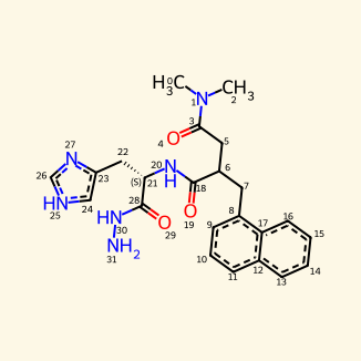 CN(C)C(=O)CC(Cc1cccc2ccccc12)C(=O)N[C@@H](Cc1c[nH]cn1)C(=O)NN